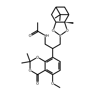 COc1ccc(C(CNC(C)=O)CB2OC3CC4CC(C4(C)C)[C@]3(C)O2)c2c1C(=O)OC(C)(C)O2